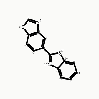 [c]1cc2scnc2cc1-c1nc2ccccc2s1